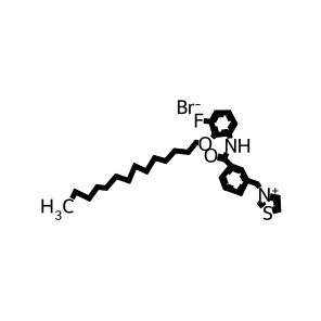 CCCCCCCCCCCCCCOc1c(F)cccc1NC(=O)c1cccc(C[n+]2ccsc2)c1.[Br-]